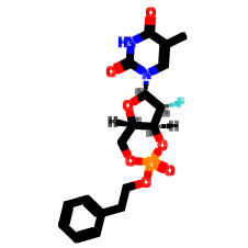 Cc1cn([C@H]2O[C@H]3COP(=O)(OCCc4ccccc4)O[C@@H]3[C@H]2F)c(=O)[nH]c1=O